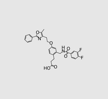 Cc1oc(-c2ccccc2)nc1CCOc1ccc(CCC(=O)O)c(CNS(=O)(=O)c2ccc(F)c(F)c2)c1